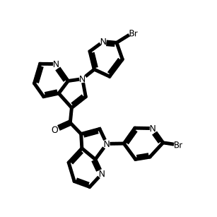 O=C(c1cn(-c2ccc(Br)nc2)c2ncccc12)c1cn(-c2ccc(Br)nc2)c2ncccc12